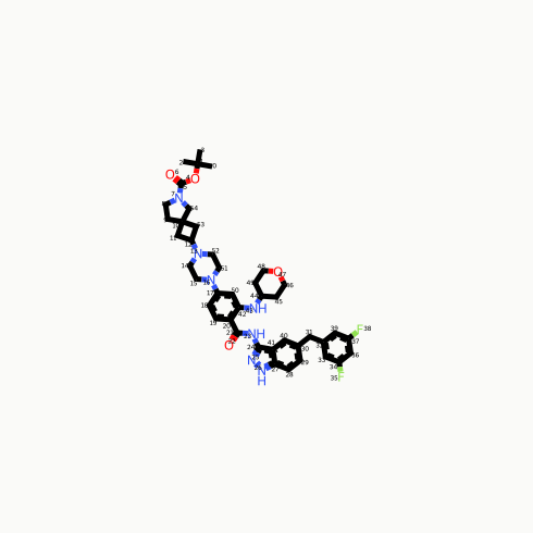 CC(C)(C)OC(=O)N1CCC2(CC(N3CCN(c4ccc(C(=O)Nc5n[nH]c6ccc(Cc7cc(F)cc(F)c7)cc56)c(NC5CCOCC5)c4)CC3)C2)C1